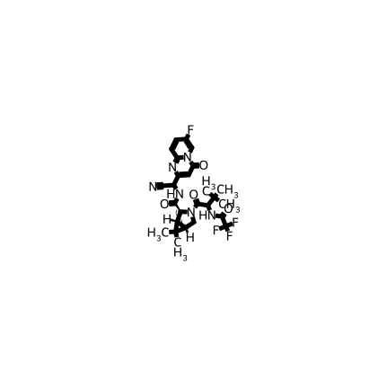 CC(C)(C)C(NC(=O)C(F)(F)F)C(=O)N1C[C@H]2[C@@H]([C@H]1C(=O)NC(C#N)c1cc(=O)n3cc(F)ccc3n1)C2(C)C